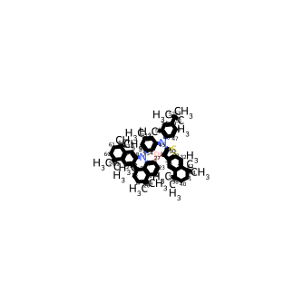 Cc1cc2c3c(c1)N1c4cc5c(cc4C4(C)CCC(C)(C)c6ccc(c1c64)B3c1c(sc3cc4c(cc13)C(C)(C)CCC4(C)C)N2c1ccc(C(C)(C)C)cc1C)C(C)(C)CCC5(C)C